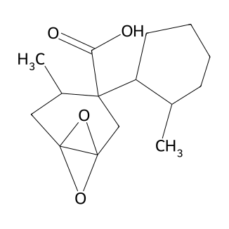 CC1CCCCC1C1(C(=O)O)CC23OC2(CC1C)O3